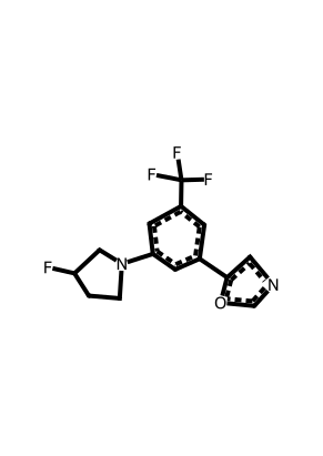 FC1CCN(c2cc(-c3cnco3)cc(C(F)(F)F)c2)C1